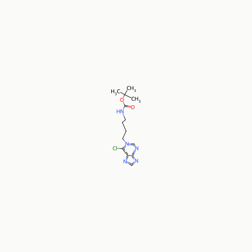 CC(C)(C)OC(=O)NCCCCn1cnc2ncnc-2c1Cl